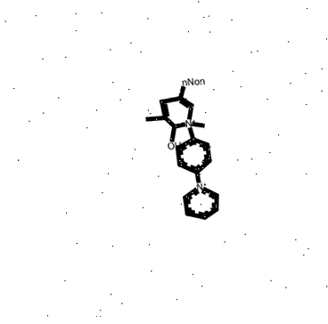 CCCCCCCCCC1=C[N+](C)(c2ccc(-[n+]3ccccc3)cc2)C(O)C(C)=C1